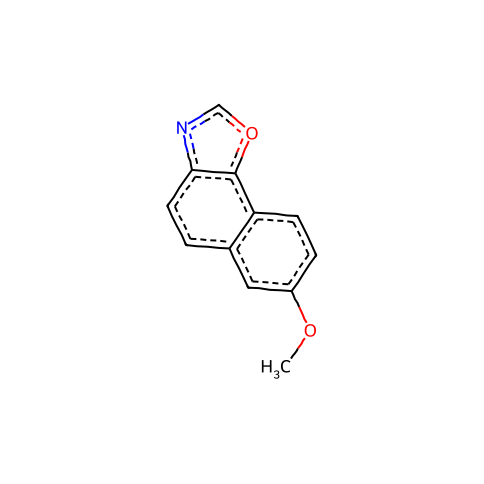 COc1ccc2c(ccc3ncoc32)c1